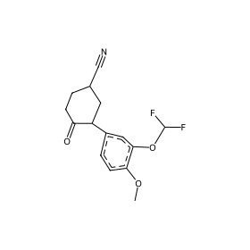 COc1ccc(C2CC(C#N)CCC2=O)cc1OC(F)F